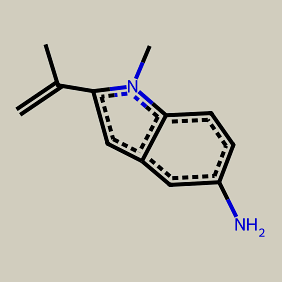 C=C(C)c1cc2cc(N)ccc2n1C